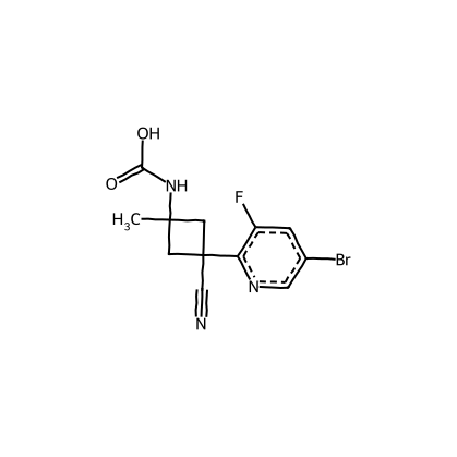 CC1(NC(=O)O)CC(C#N)(c2ncc(Br)cc2F)C1